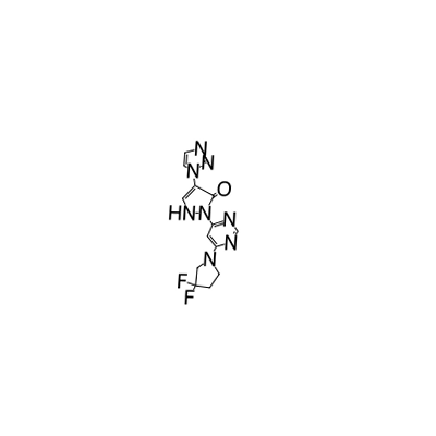 O=c1c(-n2ccnn2)c[nH]n1-c1cc(N2CCC(F)(F)C2)ncn1